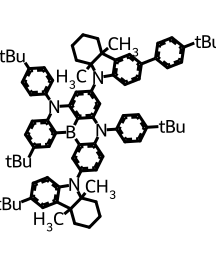 CC(C)(C)c1ccc(-c2ccc3c(c2)C2(C)CCCCC2(C)N3c2cc3c4c(c2)N(c2ccc(C(C)(C)C)cc2)c2ccc(C(C)(C)C)cc2B4c2cc(N4c5ccc(C(C)(C)C)cc5C5(C)CCCCC45C)ccc2N3c2ccc(C(C)(C)C)cc2)cc1